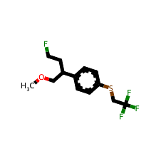 COCC(CCF)c1ccc(SCC(F)(F)F)cc1